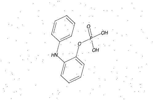 O=P(O)(O)Oc1ccccc1Nc1ccccc1